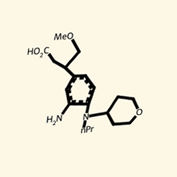 CCCN(c1ccc(C(COC)CC(=O)O)cc1N)C1CCOCC1